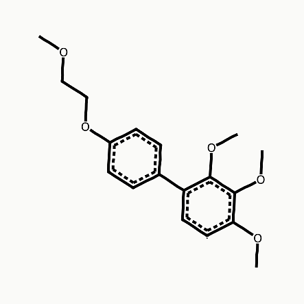 COCCOc1ccc(-c2c[c]c(OC)c(OC)c2OC)cc1